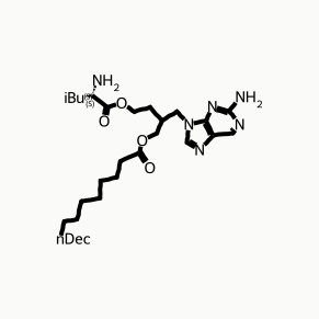 CCCCCCCCCCCCCCCCCC(=O)OCC(CCOC(=O)[C@@H](N)[C@@H](C)CC)Cn1cnc2cnc(N)nc21